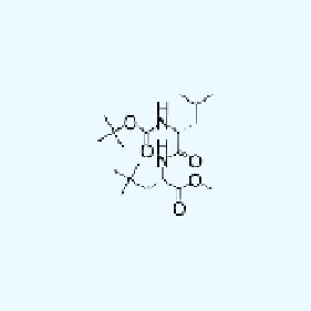 COC(=O)[C@H](CC(C)(C)C)NC(=O)[C@@H](CC(C)C)NC(=O)OC(C)(C)C